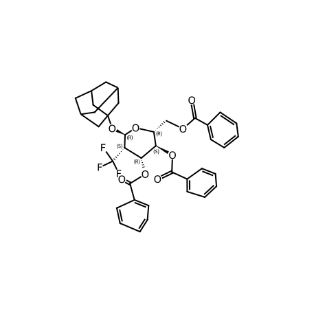 O=C(OC[C@H]1O[C@H](OC23CC4CC(CC(C4)C2)C3)[C@@H](C(F)(F)F)[C@@H](OC(=O)c2ccccc2)[C@@H]1OC(=O)c1ccccc1)c1ccccc1